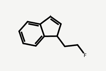 FCCC1C=[C]c2ccccc21